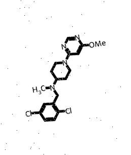 COc1cc(N2CCC(N(C)Cc3cc(Cl)ccc3Cl)CC2)ncn1